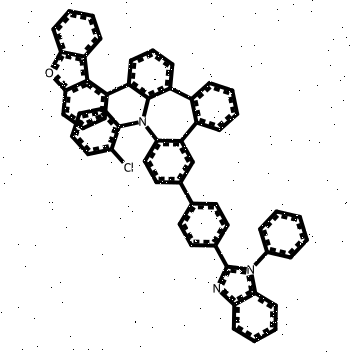 Clc1ccccc1N1c2ccc(-c3ccc(-c4nc5ccccc5n4-c4ccccc4)cc3)cc2-c2ccccc2-c2cccc(-c3cccc4oc5ccccc5c34)c21